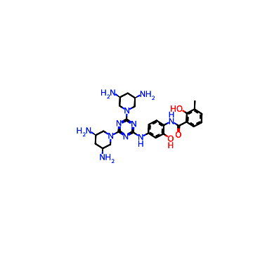 Cc1cccc(C(=O)Nc2ccc(Nc3nc(N4C[C@H](N)C[C@H](N)C4)nc(N4C[C@H](N)C[C@H](N)C4)n3)cc2O)c1O